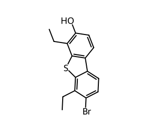 CCc1c(O)ccc2c1sc1c(CC)c(Br)ccc12